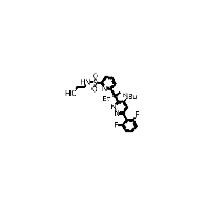 CC[C@H](C)c1cc(-c2c(F)cccc2F)nnc1[C@@](C)(CC)c1cccc(S(=O)(=O)NCCO)n1